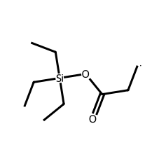 [CH2]CC(=O)O[Si](CC)(CC)CC